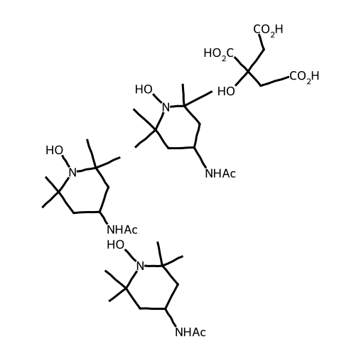 CC(=O)NC1CC(C)(C)N(O)C(C)(C)C1.CC(=O)NC1CC(C)(C)N(O)C(C)(C)C1.CC(=O)NC1CC(C)(C)N(O)C(C)(C)C1.O=C(O)CC(O)(CC(=O)O)C(=O)O